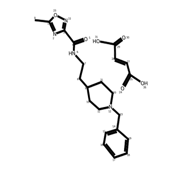 Cc1nc(C(=O)NCCC2CCN(Cc3ccccc3)CC2)no1.O=C(O)C=CC(=O)O